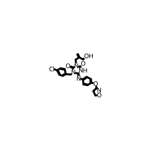 C=C(CO)Cn1c(=O)[nH]/c(=N\c2ccc(OC3=NOCC3)cc2)n(Cc2ccc(Cl)cc2)c1=O